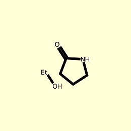 O=C1CCCN1.[CH2]CO